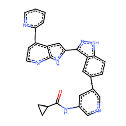 O=C(Nc1cncc(-c2ccc3[nH]nc(-c4cc5c(-c6ccccn6)ccnc5[nH]4)c3c2)c1)C1CC1